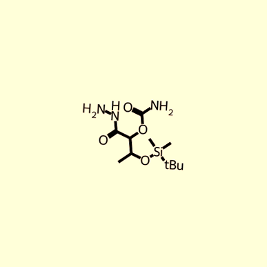 CC(O[Si](C)(C)C(C)(C)C)C(OC(N)=O)C(=O)NN